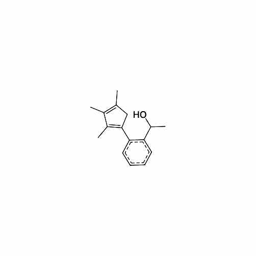 CC1=C(C)C(C)=C(c2ccccc2C(C)O)C1